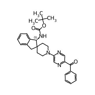 CC(C)(C)OC(=O)N[C@@H]1c2ccccc2CC12CCN(c1cnc(C(=O)c3ccccc3)cn1)CC2